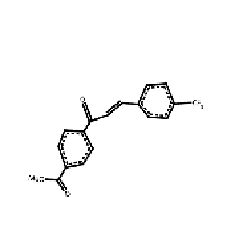 COC(=O)c1ccc(C(=O)C=Cc2ccc(C(F)(F)F)cc2)cc1